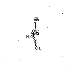 CCCCCC(=O)SC[C@@H](C)C(=O)N1CCC[C@H]1C(=O)OCCCCO[N+](=O)[O-]